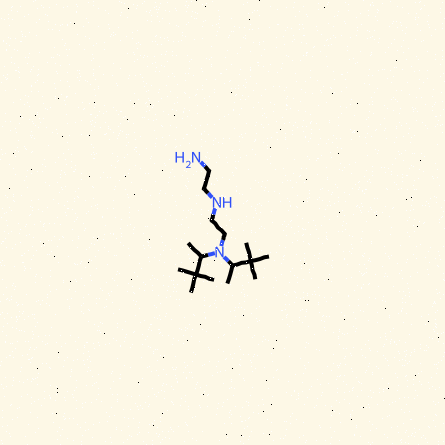 CC(N(CCNCCN)C(C)C(C)(C)C)C(C)(C)C